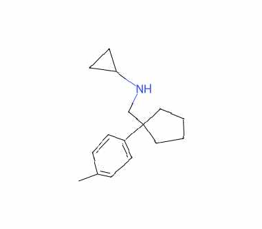 Cc1ccc(C2(CNC3CC3)CCCC2)cc1